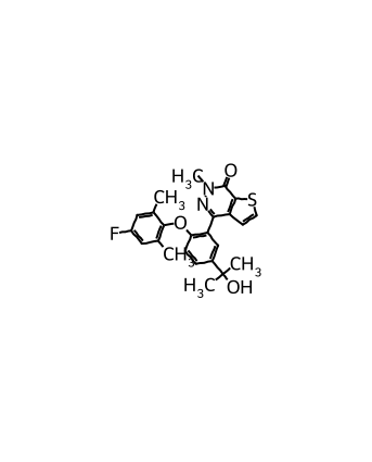 Cc1cc(F)cc(C)c1Oc1ccc(C(C)(C)O)cc1-c1nn(C)c(=O)c2sccc12